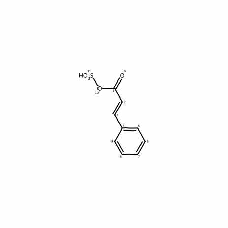 O=C(C=Cc1ccccc1)OS(=O)(=O)O